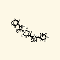 O=C(Nc1cccnc1)N1CCN(c2nc(-c3ccccn3)ns2)CC1